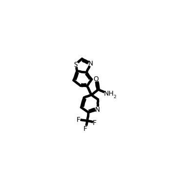 NC(=O)C1(c2ccc3scnc3c2)C=CC(C(F)(F)F)=NC1